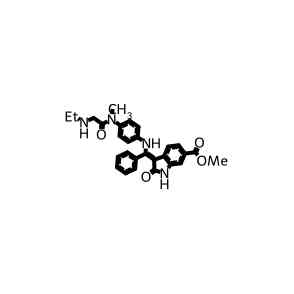 CCNCC(=O)N(C)c1ccc(NC(=C2C(=O)Nc3cc(C(=O)OC)ccc32)c2ccccc2)cc1